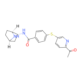 CC(=O)c1ccc(Sc2ccc(C(=O)N[C@@H]3C[C@H]4CC[C@@H]3N4)cc2)cn1